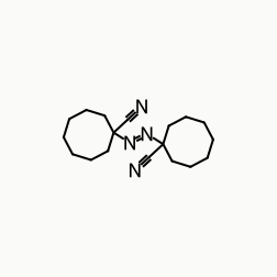 N#CC1(N=NC2(C#N)CCCCCCC2)CCCCCCC1